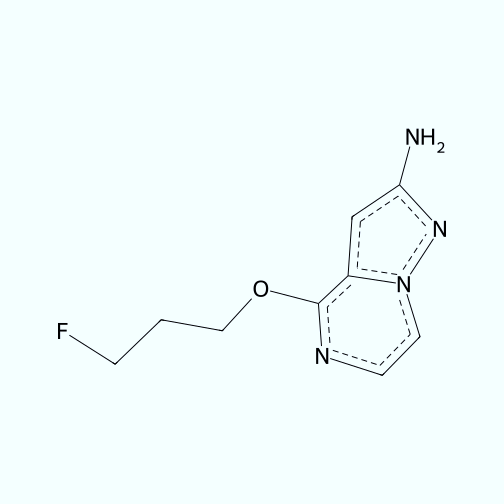 Nc1cc2c(OCCCF)nccn2n1